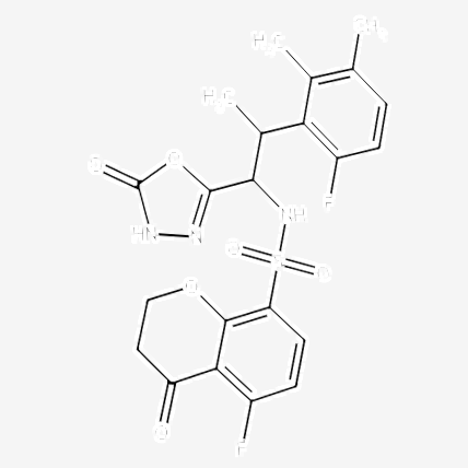 Cc1ccc(F)c(C(C)C(NS(=O)(=O)c2ccc(F)c3c2OCCC3=O)c2n[nH]c(=O)o2)c1C